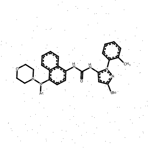 CC(=O)N(c1ccc(NC(=O)Nc2cc(C(C)(C)C)nn2-c2ccccc2C)c2ccccc12)N1CCOCC1